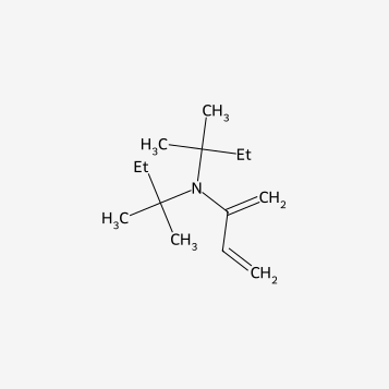 C=CC(=C)N(C(C)(C)CC)C(C)(C)CC